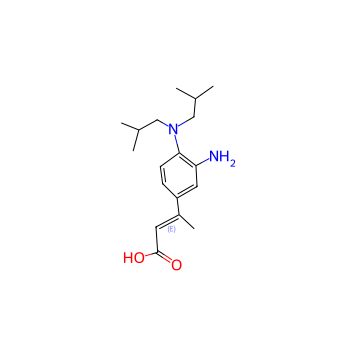 C/C(=C\C(=O)O)c1ccc(N(CC(C)C)CC(C)C)c(N)c1